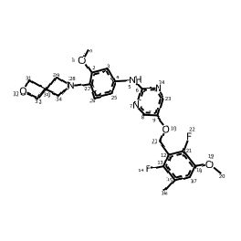 COc1cc(Nc2ncc(OCc3c(F)c(C)cc(OC)c3F)cn2)ccc1N1CC2(COC2)C1